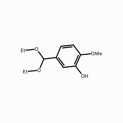 CCOC(OCC)c1ccc(OC)c(O)c1